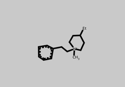 CCC1CC[N+](C)(CCc2ccccc2)CC1